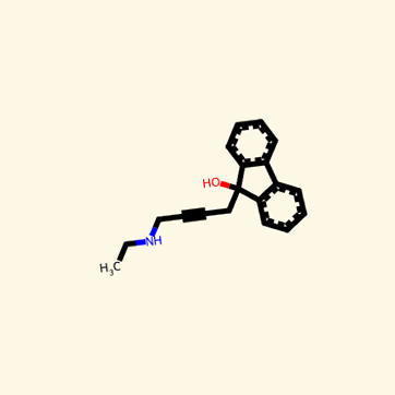 CCNCC#CCC1(O)c2ccccc2-c2ccccc21